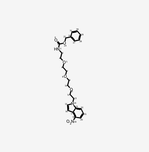 O=C(NCCOCCOCCOCCn1ccc2c([N+](=O)[O-])cccc21)OCc1ccccc1